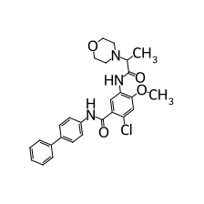 COc1cc(Cl)c(C(=O)Nc2ccc(-c3ccccc3)cc2)cc1NC(=O)C(C)N1CCOCC1